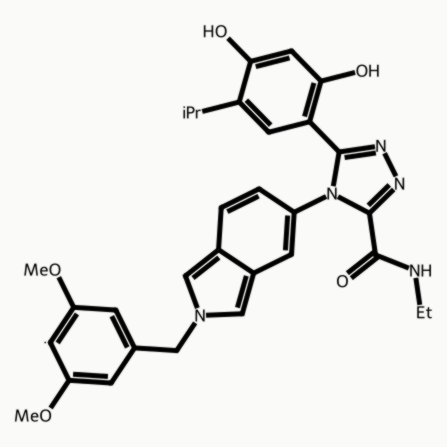 CCNC(=O)c1nnc(-c2cc(C(C)C)c(O)cc2O)n1-c1ccc2cn(Cc3cc(OC)[c]c(OC)c3)cc2c1